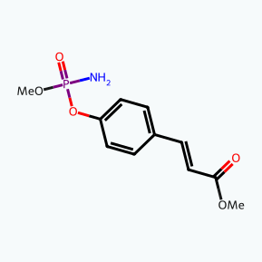 COC(=O)/C=C/c1ccc(OP(N)(=O)OC)cc1